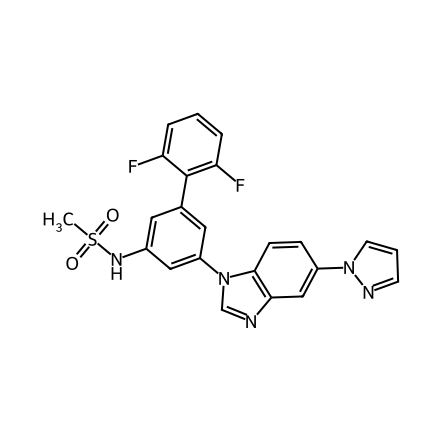 CS(=O)(=O)Nc1cc(-c2c(F)cccc2F)cc(-n2cnc3cc(-n4cccn4)ccc32)c1